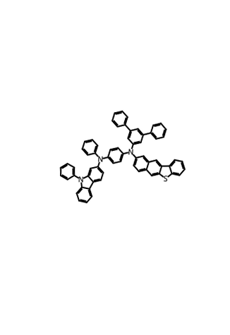 c1ccc(-c2cc(-c3ccccc3)cc(N(c3ccc(N(c4ccccc4)c4ccc5c6ccccc6n(-c6ccccc6)c5c4)cc3)c3ccc4cc5sc6ccccc6c5cc4c3)c2)cc1